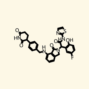 O=C1CCC(c2ccc(CNc3cccc4c3C(=O)N(C(C(=O)Nc3nccs3)c3cc(F)ccc3O)C4)cc2)C(=O)N1